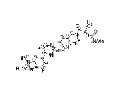 CNC(=O)O[C@H](C)C(=O)N1CCc2nc(Nc3ncc(F)c(-c4cc(F)c5nc(C)n(C(C)C)c5c4)n3)ccc2C1